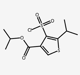 CC(C)OC(=O)c1csc(C(C)C)c1S(=O)(=O)Cl